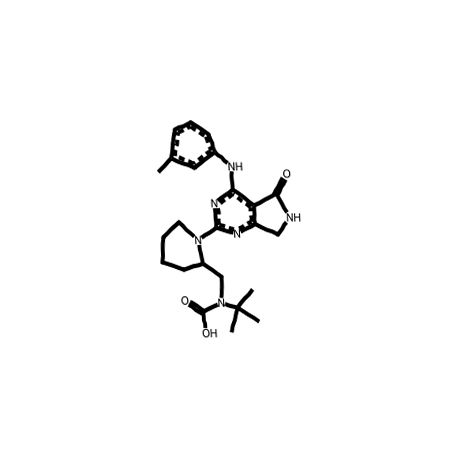 Cc1cccc(Nc2nc(N3CCCCC3CN(C(=O)O)C(C)(C)C)nc3c2C(=O)NC3)c1